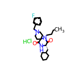 CCCCN1C(=O)[C@H](CC2CCCCC2)NC(=O)C12CCN(Cc1cccc(F)c1)CC2.Cl